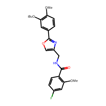 COc1ccc(-c2nc(CNC(=O)c3ccc(F)cc3OC)co2)cc1OCC(C)C